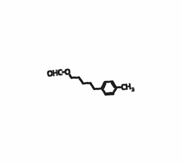 Cc1ccc(CCCCCOC=O)cc1